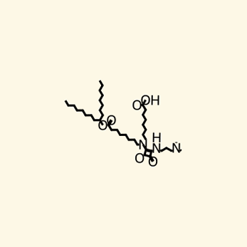 CCCCCCCCC(CCCCCCCC)OC(=O)CCCCCCCN(CCCCCCCC(=O)O)c1c(NCCCN(C)C)c(=O)c1=O